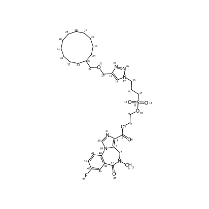 CN1Cc2c(C(=O)OCCOS(=O)(=O)CCCn3cc(COCC4CCCCCCCCCCC4)nn3)ncn2-c2ccc(F)cc2C1=O